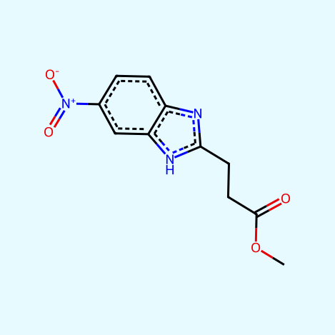 COC(=O)CCc1nc2ccc([N+](=O)[O-])cc2[nH]1